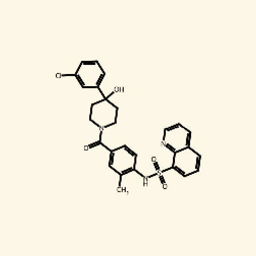 Cc1cc(C(=O)N2CCC(O)(c3cccc(Cl)c3)CC2)ccc1NS(=O)(=O)c1cccc2cccnc12